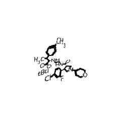 Cc1ccc(C(C)[C@H](NCCNC(=O)[C@@H]2CN(C3CCOCC3)C[C@H]2c2ccc(Cl)cc2F)C(=O)OC(C)(C)C)cc1